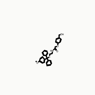 COc1ccc(C(SCCNC(=O)COc2ccc(CO)cc2)(c2ccccc2)c2ccccc2)cc1